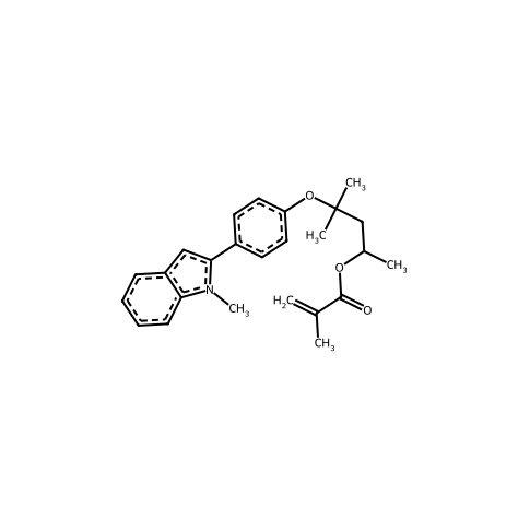 C=C(C)C(=O)OC(C)CC(C)(C)Oc1ccc(-c2cc3ccccc3n2C)cc1